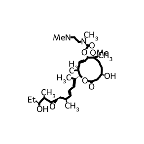 CC[C@H](O)[C@@H](C)[C@H]1O[C@@H]1C[C@H](C)/C=C/C=C(\C)[C@H]1OC(=O)C[C@H](O)CC[C@@](C)(OC)[C@@H](OC(=O)N(C)CCNC)/C=C/[C@@H]1C